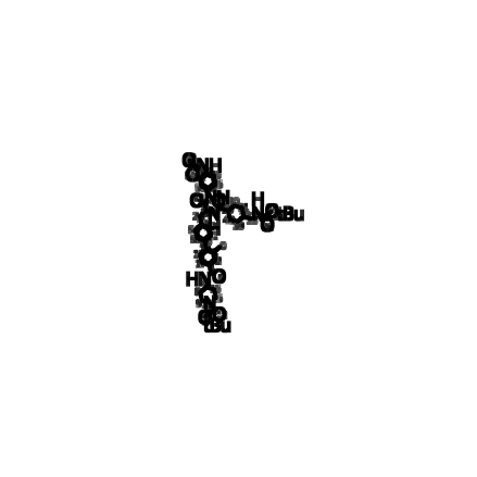 Cc1cc(C(=O)NC2CCN(C(=O)OC(C)(C)C)CC2)ccc1-c1ccc(C[C@H](NC(=O)C2CCC(CNC(=O)OC(C)(C)C)CC2)C(=O)Nc2ccc3[nH]c(=O)oc3c2)cc1